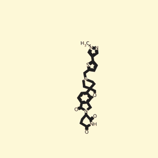 Cn1cc(-c2ccc(CN3CCC4(CC3)COc3c4ccc4c3CN(C3CCC(=O)NC3=O)C4=O)s2)cn1